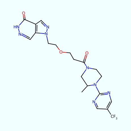 CC1CN(C(=O)CCOCCn2ncc3c(=O)[nH]ncc32)CCN1c1ncc(C(F)(F)F)cn1